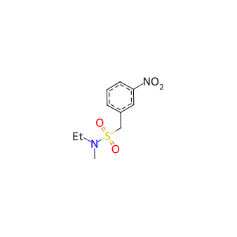 CCN(C)S(=O)(=O)Cc1cccc([N+](=O)[O-])c1